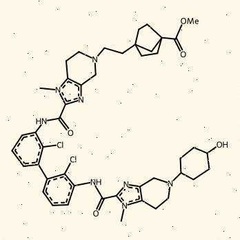 COC(=O)C12CCC(CCN3CCc4c(nc(C(=O)Nc5cccc(-c6cccc(NC(=O)c7nc8c(n7C)CCN(C7CCC(O)CC7)C8)c6Cl)c5Cl)n4C)C3)(CC1)C2